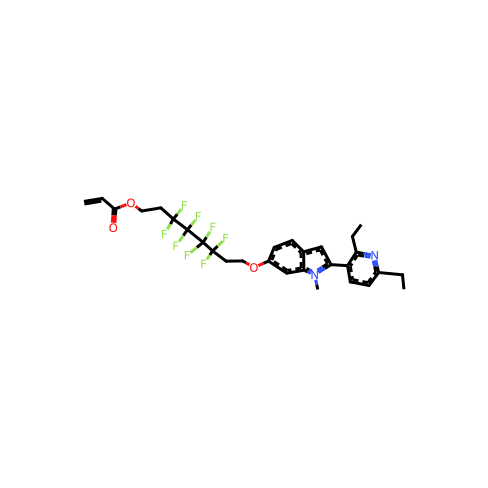 C=CC(=O)OCCC(F)(F)C(F)(F)C(F)(F)C(F)(F)CCOc1ccc2cc(-c3ccc(CC)nc3CC)n(C)c2c1